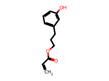 C=CC(=O)OCCCc1cccc(O)c1